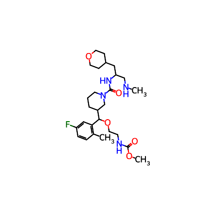 CNCC(CC1CCOCC1)NC(=O)N1CCCC(C(OCCNC(=O)OC)c2cc(F)ccc2C)C1